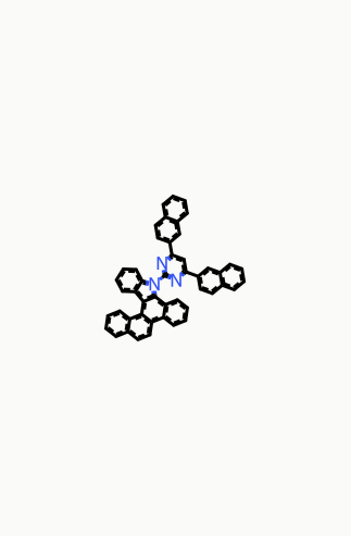 c1ccc2cc(-c3cc(-c4ccc5ccccc5c4)nc(-n4c5ccccc5c5c6c7ccccc7ccc6c6ccccc6c54)n3)ccc2c1